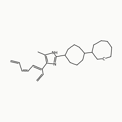 C=C/C=C\C=C(/C=C)c1nc(C2CCCC(C3CCCCCCC3)CCC2)[nH]c1C